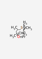 CCCO[Si](C)(C)CC(C)CS[Si](C)(C)C